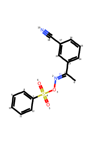 C/C(=N\OS(=O)(=O)c1ccccc1)c1cccc(C#N)c1